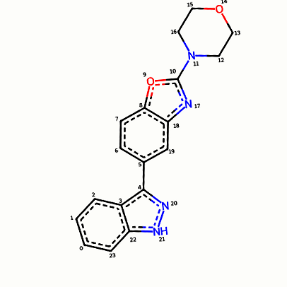 c1ccc2c(-c3ccc4oc(N5CCOCC5)nc4c3)n[nH]c2c1